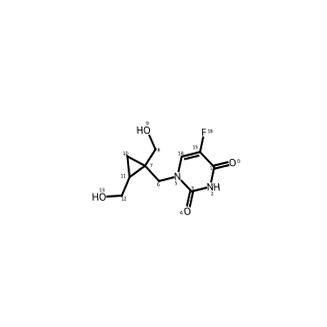 O=c1[nH]c(=O)n(CC2(CO)CC2CO)cc1F